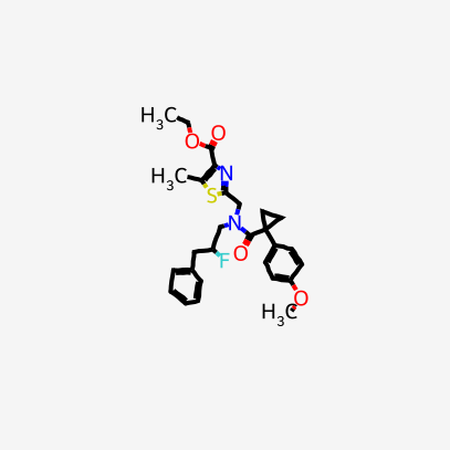 CCOC(=O)c1nc(CN(CC(F)Cc2ccccc2)C(=O)C2(c3ccc(OC)cc3)CC2)sc1C